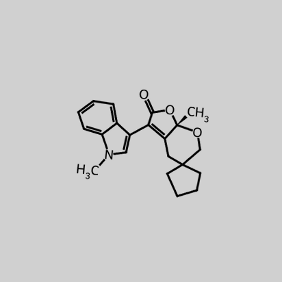 Cn1cc(C2=C3CC4(CCCC4)CO[C@@]3(C)OC2=O)c2ccccc21